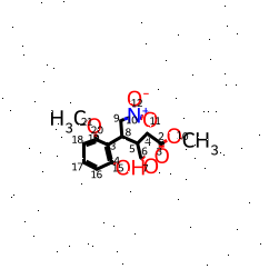 COC(=O)CC(C=O)C(C[N+](=O)[O-])c1c(O)cccc1OC